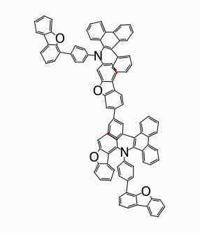 c1ccc(-c2c(N(c3ccc(-c4cccc5c4oc4ccccc45)cc3)c3ccc4c(c3)oc3cc(-c5cccc(-c6c(N(c7ccc(-c8cccc9c8oc8ccccc89)cc7)c7cccc8oc9ccccc9c78)c7ccccc7c7ccccc67)c5)ccc34)c3ccccc3c3ccccc23)cc1